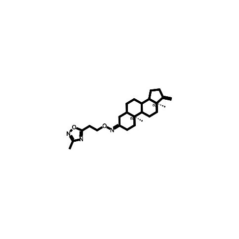 C=C1CCC2C3CCC4CC(=NOCCc5nc(C)no5)CC[C@]4(C)C3CC[C@]12C